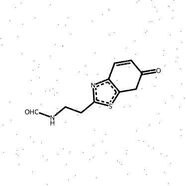 O=CNCCc1nc2c(s1)CC(=O)C=C2